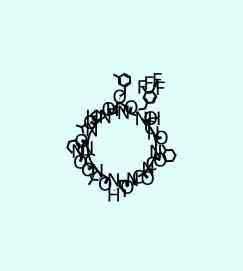 CC[C@H](C)[C@@H]1NC(=O)[C@H](CC(C)C)N(C)C(=O)C[C@@H](C(=O)N2CCCCC2)N(C)C(=O)[C@H](CC(C)C)N(C)C(=O)C2(CCCC2)NC(=O)[C@@H]2C[C@H](OCc3cccc(C)c3)CN2C(=O)[C@H](CCc2ccc(C(F)(F)F)c(F)c2)NC(=O)CN(C)C(=O)[C@H](CC2CCCCC2)N(C)C(=O)CN(C)C(=O)CN(C)C1=O